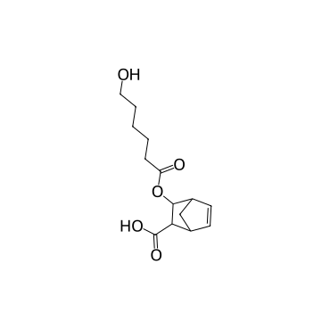 O=C(CCCCCO)OC1C2C=CC(C2)C1C(=O)O